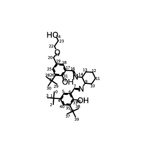 CC(C)(C)c1cc(/C=N/[C@@H]2CCCCC2/N=C/c2cc(COCCO)cc(C(C)(C)C)c2O)c(O)c(C(C)(C)C)c1